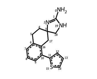 NC1=NC2(CCc3cccc(-c4cccs4)c3C2)CN1